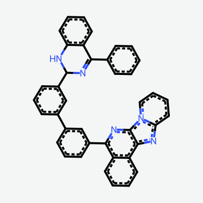 c1ccc(C2=NC(c3cccc(-c4cccc(-c5nc6c(nc7ccccn76)c6ccccc56)c4)c3)Nc3ccccc32)cc1